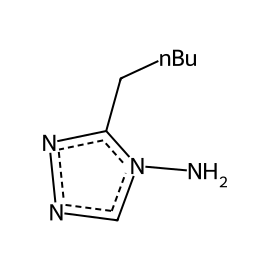 CCCCCc1nncn1N